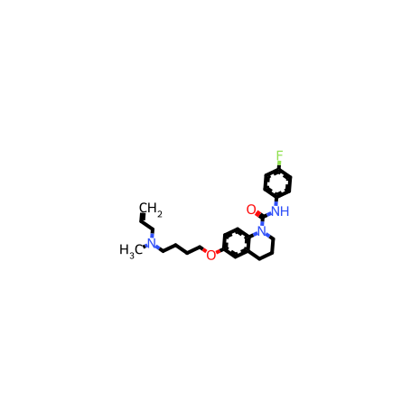 C=CCN(C)CCCCOc1ccc2c(c1)CCCN2C(=O)Nc1ccc(F)cc1